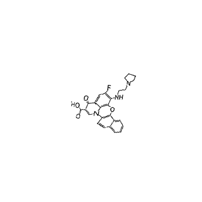 O=C(O)c1cn2c3c(c(NCCN4CCCC4)c(F)cc3c1=O)Oc1c-2ccc2ccccc12